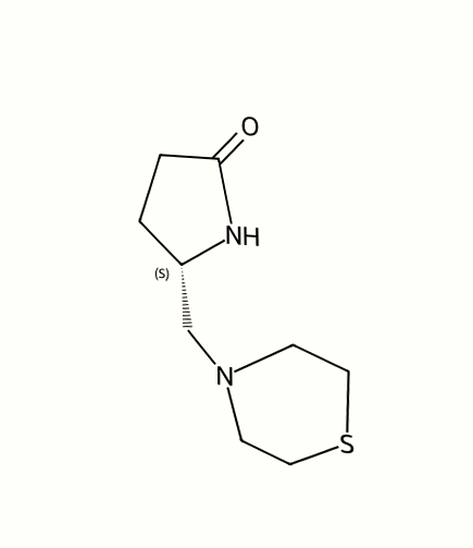 O=C1CC[C@@H](CN2CCSCC2)N1